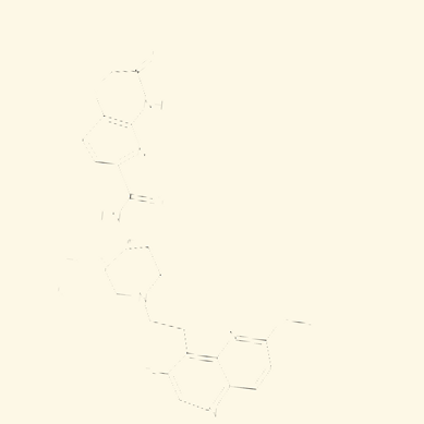 COc1ccc2ncc(F)c(CCN3CC[C@@H](NC(=O)c4ccc5c(n4)NC(=O)CS5)[C@@H](O)C3)c2n1.Cl